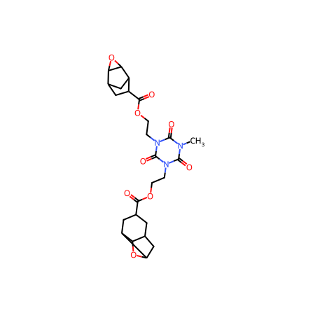 Cn1c(=O)n(CCOC(=O)C2CC3CC4OC3C4C2)c(=O)n(CCOC(=O)C2CC3CC2C2OC32)c1=O